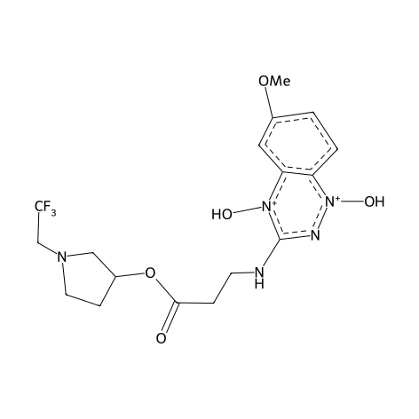 COc1ccc2c(c1)[n+](O)c(NCCC(=O)OC1CCN(CC(F)(F)F)C1)n[n+]2O